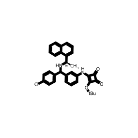 C[C@@H](NC(c1ccc(Cl)cc1)c1cccc(Nc2c(OC(C)(C)C)c(=O)c2=O)c1)c1cccc2ccccc12